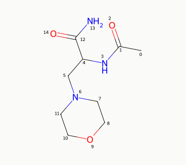 CC(=O)NC(CN1CCOCC1)C(N)=O